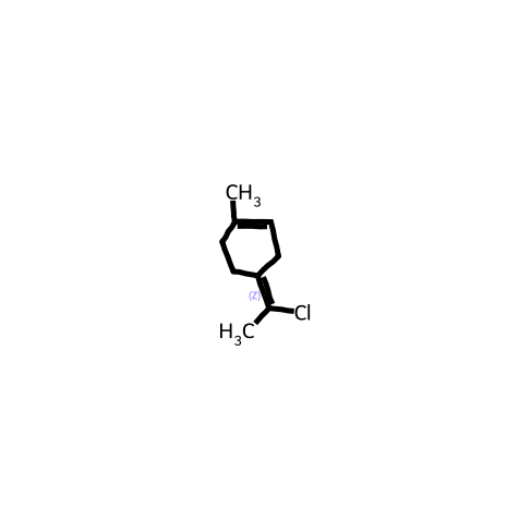 CC1=CC/C(=C(/C)Cl)CC1